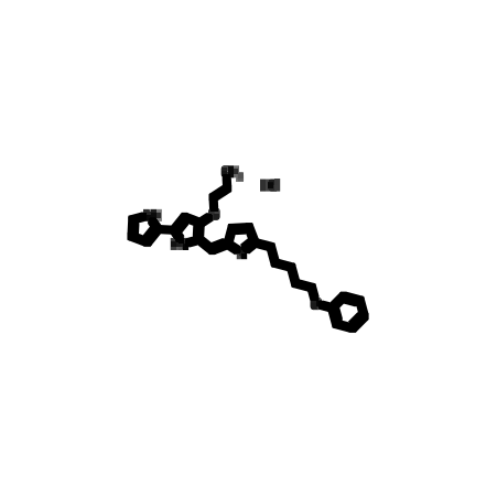 CCCOc1cc(-c2ccc[nH]2)[nH]c1C=C1C=CC(CCCCCOc2ccccc2)=N1.Cl